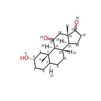 C[C@]12C[C@@H](O)CC[C@@H]1CC[C@@H]1[C@@H]2C(=O)C[C@]2(C)C(=O)CC[C@@H]12